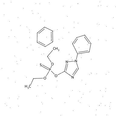 CCOP(=S)(OCC)Oc1ncn(-c2ccccc2)n1.[c]1ccccc1